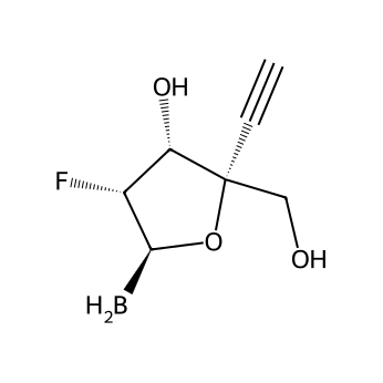 B[C@@H]1O[C@](C#C)(CO)[C@@H](O)[C@H]1F